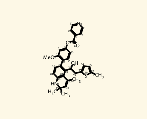 COc1cc(OC(=O)c2ccncc2)ccc1-c1ccc2c(c1C(O)Cc1ccc(C)s1)C(C)=CC(C)(C)N2